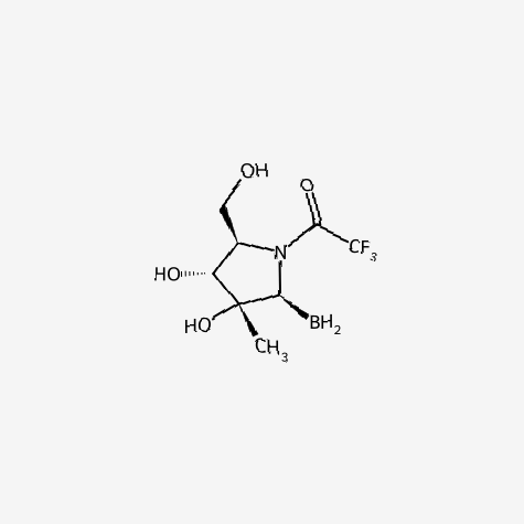 B[C@@H]1N(C(=O)C(F)(F)F)[C@H](CO)[C@@H](O)[C@@]1(C)O